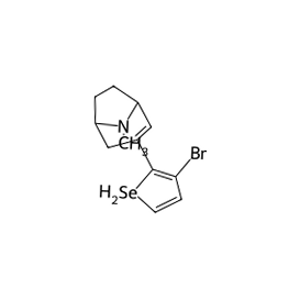 CN1C2C=C(C3=C(Br)C=C[SeH2]3)CC1CC2